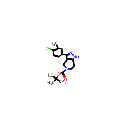 Cc1cc(-c2n[nH]c3c2CN(C(=O)OC(C)(C)C)CC3)ccc1Cl